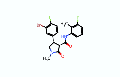 Cc1c(F)cccc1NC(=O)[C@H]1C(=O)N(C)C[C@@H]1c1ccc(F)c(Br)c1